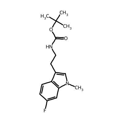 Cn1cc(CCNC(=O)OC(C)(C)C)c2ccc(F)cc21